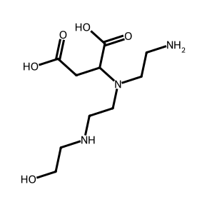 NCCN(CCNCCO)C(CC(=O)O)C(=O)O